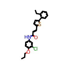 CCCOc1ccc(NC(=O)/C=C/c2ccc(-c3ccccc3CC)s2)cc1Cl